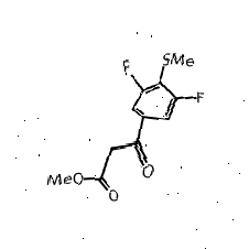 COC(=O)CC(=O)c1cc(F)c(SC)c(F)c1